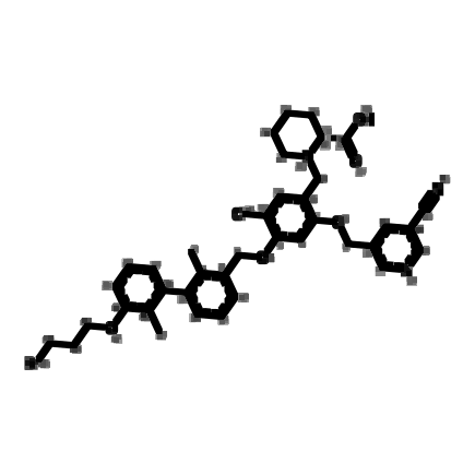 Cc1c(COc2cc(OCc3cncc(C#N)c3)c(CN3CCCC[C@@H]3C(=O)O)cc2Cl)cccc1-c1cccc(OCCCBr)c1C